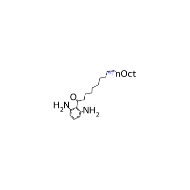 CCCCCCCC/C=C\CCCCCCCC(=O)c1c(N)cccc1N